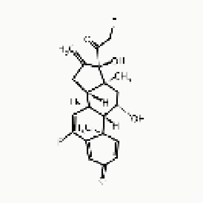 C=C1C[C@H]2[C@@H]3C=C(F)C4=CC(=O)C=C[C@]4(C)[C@H]3[C@@H](O)C[C@]2(C)[C@@]1(O)C(=O)CF